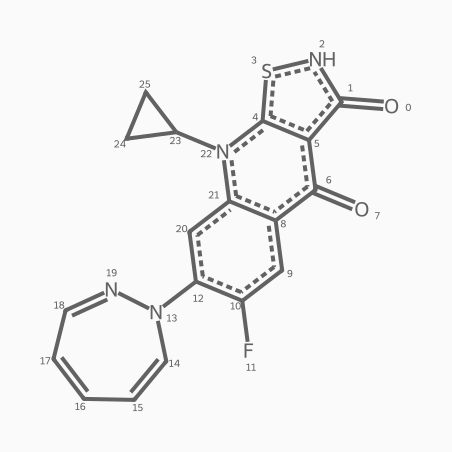 O=c1[nH]sc2c1c(=O)c1cc(F)c(N3C=CC=CC=N3)cc1n2C1CC1